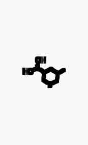 CC1CSCC(B(O)O)C1